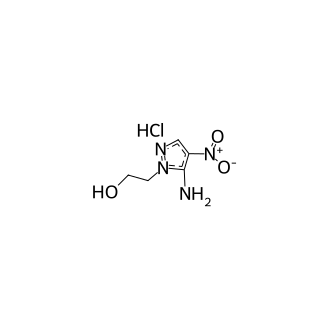 Cl.Nc1c([N+](=O)[O-])cnn1CCO